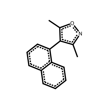 Cc1noc(C)c1-c1cccc2ccccc12